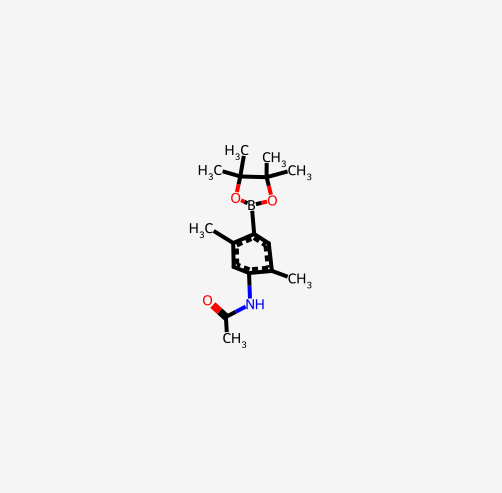 CC(=O)Nc1cc(C)c(B2OC(C)(C)C(C)(C)O2)cc1C